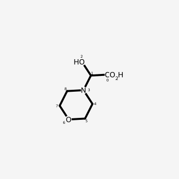 O=C(O)C(O)N1CCOCC1